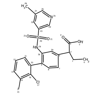 CCC(C(=O)O)c1ccc(-c2cccc(F)c2Cl)c(NS(=O)(=O)c2cncc(C)c2)c1